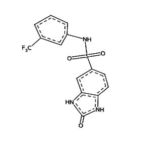 O=c1[nH]c2ccc(S(=O)(=O)Nc3cccc(C(F)(F)F)c3)cc2[nH]1